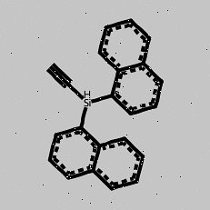 C#C[SiH](c1cccc2ccccc12)c1cccc2ccccc12